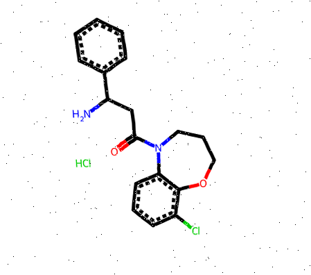 Cl.NC(CC(=O)N1CCCOc2c(Cl)cccc21)c1ccccc1